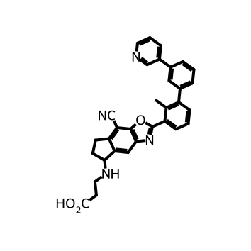 Cc1c(-c2cccc(-c3cccnc3)c2)cccc1-c1nc2cc3c(c(C#N)c2o1)CCC3NCCC(=O)O